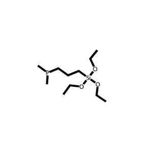 CCO[Si](CCCP(C)C)(OCC)OCC